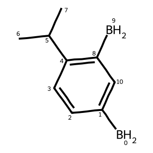 Bc1ccc(C(C)C)c(B)c1